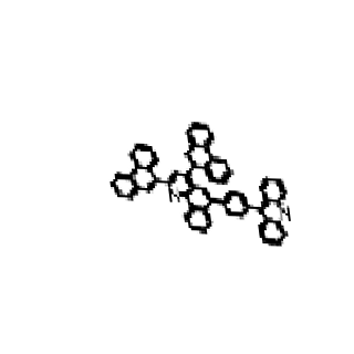 c1ccc2c(c1)cc(-c1cc(-c3cc4ccccc4c4ccccc34)c3cc(-c4ccc(-c5c6ccccc6nc6ccccc56)cc4)c4ccccc4c3n1)c1ccccc12